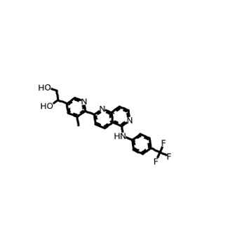 Cc1cc(C(O)CO)cnc1-c1ccc2c(Nc3ccc(C(F)(F)F)cc3)nccc2n1